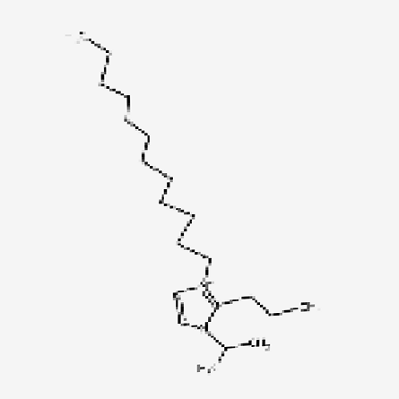 CCCCCCCCCCCC[n+]1ccn(C(C)C)c1CCC